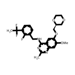 COc1cc2nc(C)nc(NCc3cccc(C(C)(F)F)c3F)c2cc1OC[C@@H]1COCCO1